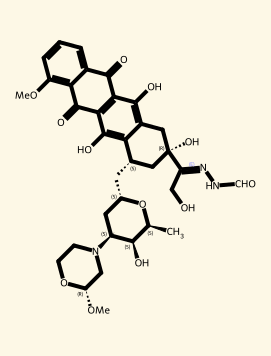 COc1cccc2c1C(=O)c1c(O)c3c(c(O)c1C2=O)C[C@@](O)(/C(CO)=N/NC=O)C[C@@H]3C[C@H]1C[C@H](N2CCO[C@@H](OC)C2)[C@H](O)[C@H](C)O1